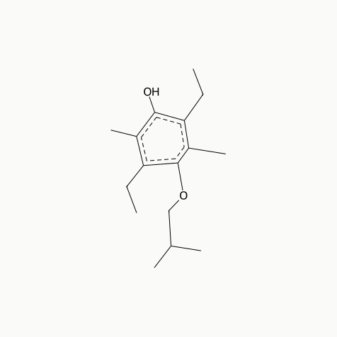 CCc1c(C)c(OCC(C)C)c(CC)c(C)c1O